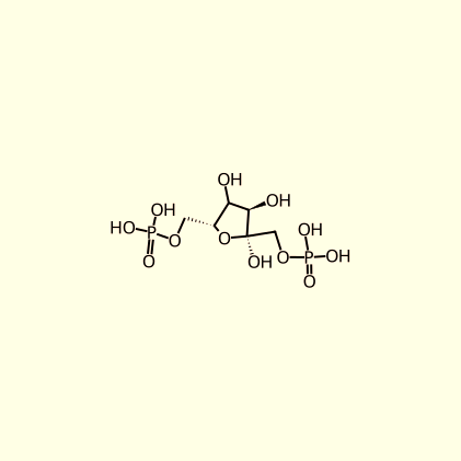 O=P(O)(O)OC[C@H]1O[C@](O)(COP(=O)(O)O)[C@H](O)C1O